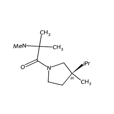 CNC(C)(C)C(=O)N1CC[C@](C)(C(C)C)C1